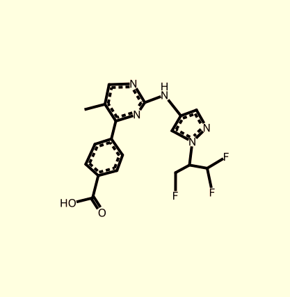 Cc1cnc(Nc2cnn(C(CF)C(F)F)c2)nc1-c1ccc(C(=O)O)cc1